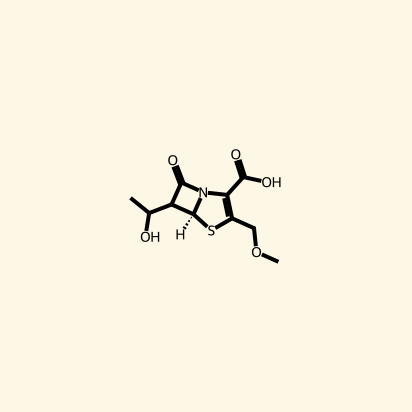 COCC1=C(C(=O)O)N2C(=O)C(C(C)O)[C@@H]2S1